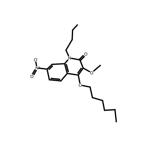 CCCCCCOc1c(OC)c(=O)n(CCCC)c2cc([N+](=O)[O-])ccc12